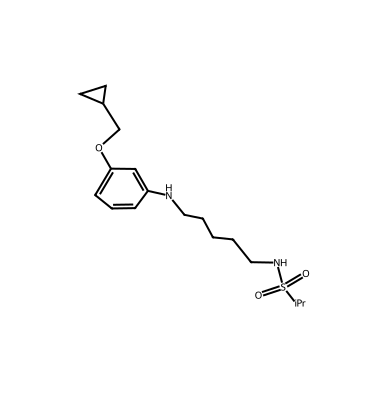 CC(C)S(=O)(=O)NCCCCCNc1cccc(OCC2CC2)c1